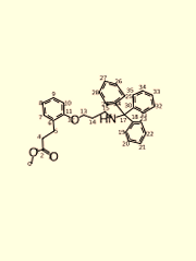 COC(=O)CCc1ccccc1OCCCNC(c1ccccc1)(c1ccccc1)c1ccccc1